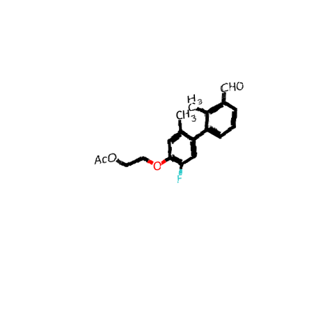 CC(=O)OCCOc1cc(C)c(-c2cccc(C=O)c2C)cc1F